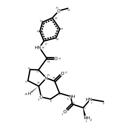 CN[C@@H](N)C(=O)NC1CO[C@H]2CCC(C(=O)Nc3ccc(OC)cc3)N2C1=O